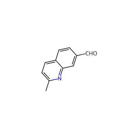 Cc1ccc2ccc(C=O)cc2n1